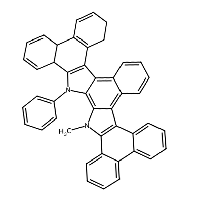 Cn1c2c3ccccc3c3ccccc3c2c2c3ccccc3c3c4c(n(-c5ccccc5)c3c21)C1C=CC=CC1C1=C4CCC=C1